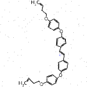 C=CCCOc1ccc(Oc2ccc(/C=C/c3ccc(Oc4ccc(OCCC=C)cc4)cc3)cc2)cc1